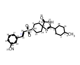 CC1CCC(C2=NC3(CCN(S(=O)(=O)/C=C/c4cccc(C#N)c4)CC3)C(=O)N2)CC1